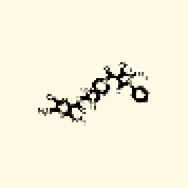 Cc1c(C(=O)N2CCC3(CC2)CN/C(=N\C(=O)c2nc(Cl)c(N)nc2N)N3)c(=O)n(-c2ccccc2)n1C